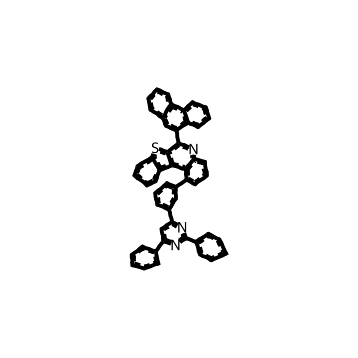 c1ccc(-c2cc(-c3cccc(-c4cccc5nc(-c6cc7ccccc7c7ccccc67)c6sc7ccccc7c6c45)c3)nc(-c3ccccc3)n2)cc1